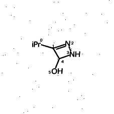 CC(C)C1=NNC1O